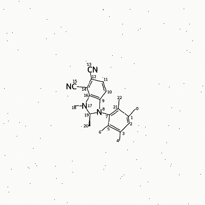 Cc1cc(C)c(C)c(N2c3ccc(C#N)c(C#N)c3N(C)[C@@H]2C)c1C